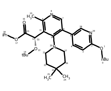 CCCCOc1ccc(-c2cnc(C)c([C@H](OC(C)(C)C)C(=O)OC(C)C)c2N2CCC(C)(C)CC2)cn1